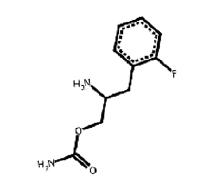 NC(=O)OCC(N)Cc1ccccc1F